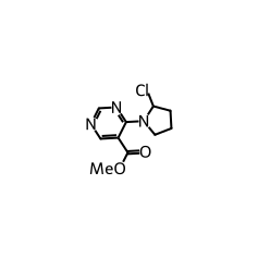 COC(=O)c1cncnc1N1CCCC1Cl